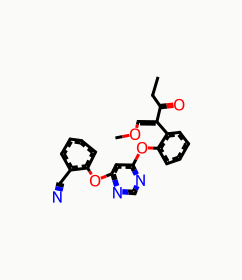 CCC(=O)/C(=C/OC)c1ccccc1Oc1cc(Oc2ccccc2C#N)ncn1